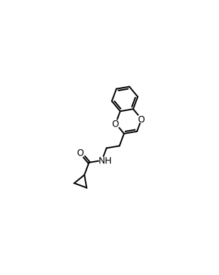 O=C(NCCC1=COc2ccccc2O1)C1CC1